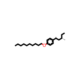 CCCCCCCCCCOc1ccc([C]C[C@@H](C)CC)cc1